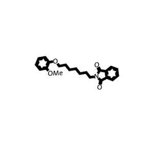 COc1ccccc1OCCCCCCCN1C(=O)c2ccccc2C1=O